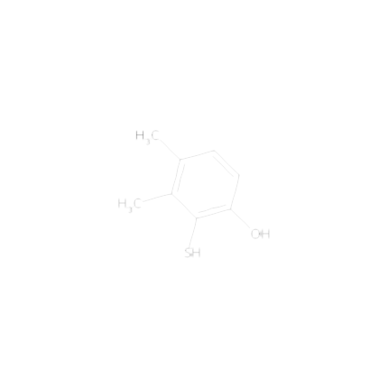 Cc1ccc(O)c(S)c1C